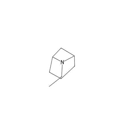 CCN1C2CCCC1C2